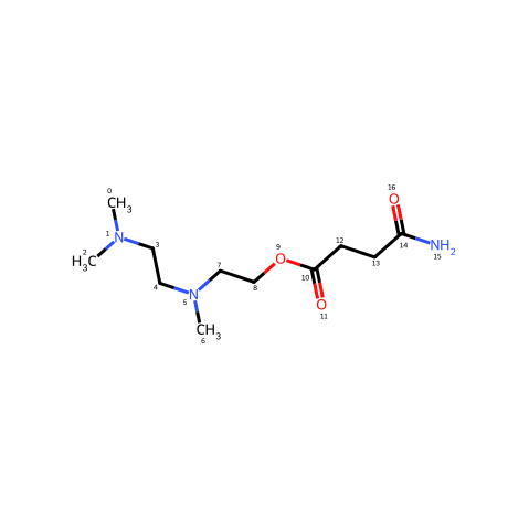 CN(C)CCN(C)CCOC(=O)CCC(N)=O